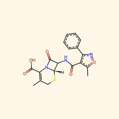 CC1=C(C(=O)O)N2C(=O)C(NC(=O)c3c(-c4ccccc4)noc3C)[C@@H]2SC1